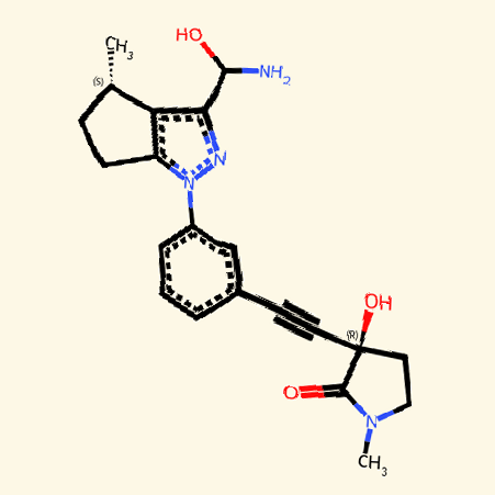 C[C@H]1CCc2c1c(C(N)O)nn2-c1cccc(C#C[C@]2(O)CCN(C)C2=O)c1